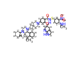 CNc1ccc(SNC(=O)c2ccc(N3CCC4(CC3)CC(N3CCN(C5CCCCC5)CC3c3ccccc3C(C)C)C4)cc2Oc2cnc3[nH]ccc3c2)cc1[N+](=O)[O-]